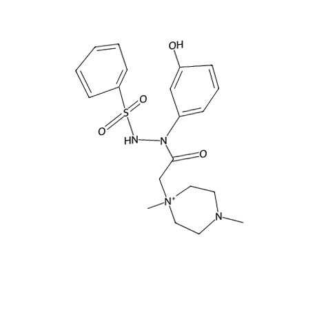 CN1CC[N+](C)(CC(=O)N(NS(=O)(=O)c2ccccc2)c2cccc(O)c2)CC1